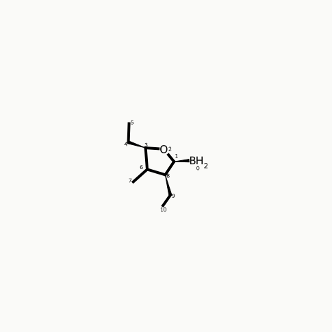 B[C@@H]1O[C@H](CC)C(C)[C@@H]1CC